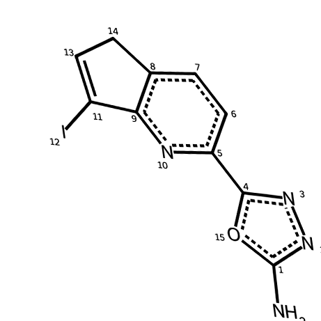 Nc1nnc(-c2ccc3c(n2)C(I)=CC3)o1